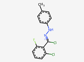 Cc1ccc(N/N=C(\Cl)c2c(F)cccc2Cl)cc1